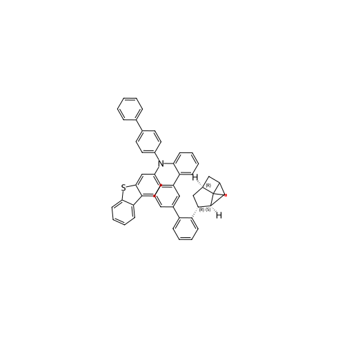 CC12C3C[C@@H]1C[C@@H](c1ccccc1-c1cccc(-c4ccccc4N(c4ccc(-c5ccccc5)cc4)c4ccc5c(c4)sc4ccccc45)c1)[C@@H]2C3